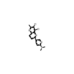 Cc1nc2ccc(-c3ccc(P(C)C)nc3)nc2c(Cl)c1Cl